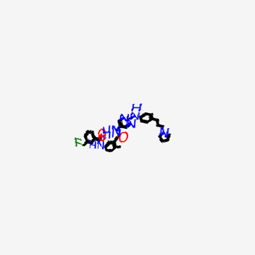 Cc1ccc(NC(=O)c2cccc(CF)c2)cc1C(=O)Nc1cnc(Nc2ccc(CCCN3CCCC3)cc2)nc1